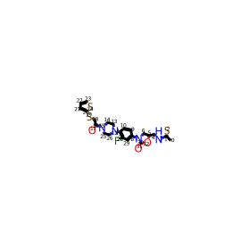 CC(=S)NCC1CN(c2ccc(N3CCN(C(=O)CSc4cccs4)CC3)c(F)c2)C(=O)O1